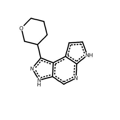 c1cc2c(ncc3[nH]nc(C4CCCOC4)c32)[nH]1